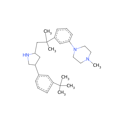 CN1CCN(c2cccc(C(C)(C)CC3CC(c4cccc(C(C)(C)C)c4)CN3)c2)CC1